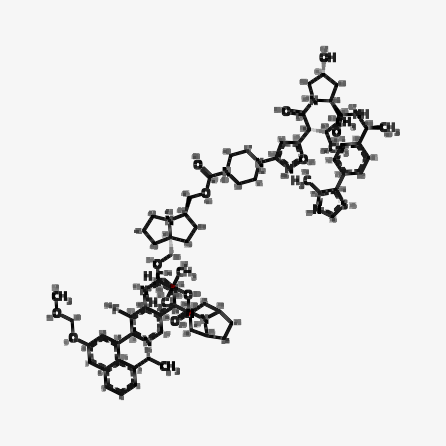 CCc1cccc2cc(OCOC)cc(-c3ncc4c(N5CC6CCC(C5)N6C(=O)OC(C)(C)C)nc(OC[C@]56CCCN5[C@@H](COC(=O)N5CCN(c7cc([C@H](C(=O)N8C[C@H](O)C[C@H]8C(=O)N[C@@H](C)c8ccc(-c9scnc9C)cc8)C(C)C)on7)CC5)CC6)nc4c3F)c12